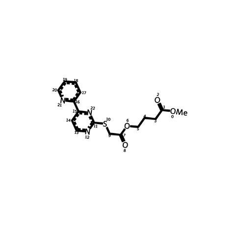 COC(=O)CCCOC(=O)CSc1nccc(-c2ccccn2)n1